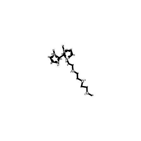 COCCOCCOCC[n+]1ccn(C)c1-c1nccn1C